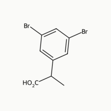 CC(C(=O)O)c1cc(Br)cc(Br)c1